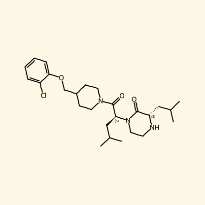 CC(C)C[C@@H]1NCCN([C@@H](CC(C)C)C(=O)N2CCC(COc3ccccc3Cl)CC2)C1=O